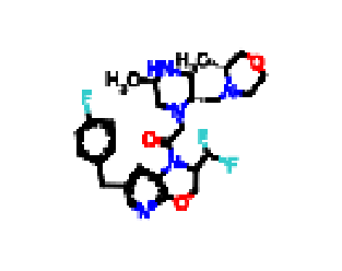 C[C@@H]1CN(CC(=O)N2c3cc(Cc4ccc(F)cc4)cnc3OCC2C(F)F)[C@@H](CN2CCOC[C@H]2C)CN1